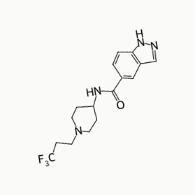 O=C(NC1CCN(CCC(F)(F)F)CC1)c1ccc2[nH]ncc2c1